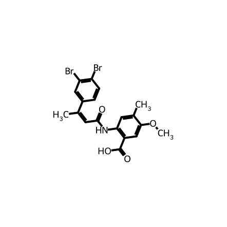 COc1cc(C(=O)O)c(NC(=O)/C=C(/C)c2ccc(Br)c(Br)c2)cc1C